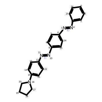 c1ccc(/N=N/c2ccc(/N=N/c3ccc(N4CCCC4)cc3)cc2)cc1